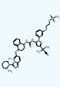 C[C@@H]1CCC[C@H](C)N1c1nnc2ccc(O[C@@H]3CC[C@H](NC(=O)Nc4cc(C(C)(C)C#N)nn4-c4cccc(OCCOS(C)(=O)=O)c4)c4ccccc43)cn12